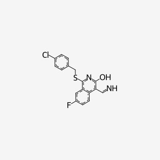 N=Cc1c(O)nc(SCc2ccc(Cl)cc2)c2cc(F)ccc12